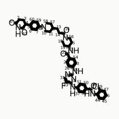 O=C1CCC(c2ccc(N3CCC(CCC(=O)N4CCC(NC(=O)c5ccc(Nc6ncc(F)c(Nc7ccc(C(=O)Nc8ccccc8Cl)cc7)n6)cc5)CC4)CC3)cc2)C(=O)N1